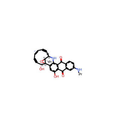 CC(C)Nc1ccc2c(c1)C(=O)c1c(O)cc3c(c1C2=O)N[C@H]1C#C/C=C\C#C[C@@H](O)[C@@]32O[C@@]12C(C)C